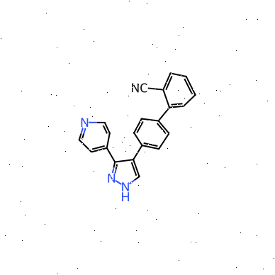 N#Cc1ccccc1-c1ccc(-c2c[nH]nc2-c2ccncc2)cc1